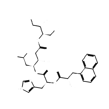 CC[C@H](C)[C@@H](CO)NC(=O)C[C@H](O)[C@H](CC(C)C)NC(=O)[C@H](Cc1c[nH]cn1)NC(=O)[C@@H](N)Cc1cccc2ccccc12